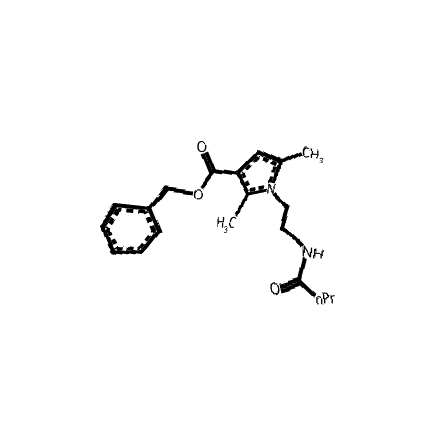 CCCC(=O)NCCn1c(C)cc(C(=O)OCc2ccccc2)c1C